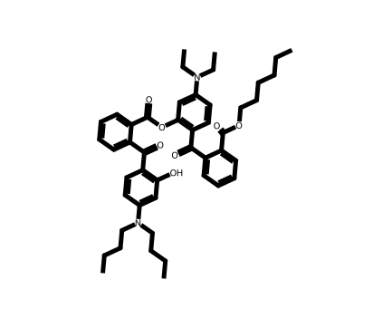 CCCCCCOC(=O)c1ccccc1C(=O)c1ccc(N(CC)CC)cc1OC(=O)c1ccccc1C(=O)c1ccc(N(CCCC)CCCC)cc1O